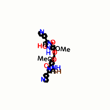 COc1cc2c(cc1OCCCOc1cc3c(cc1OC)C(=O)N1C=C(c4ccc5ncccc5c4)C[C@H]1C(S)N3)NC(O)[C@@H]1CC(c3ccc4ncccc4c3)=CN1C2=O